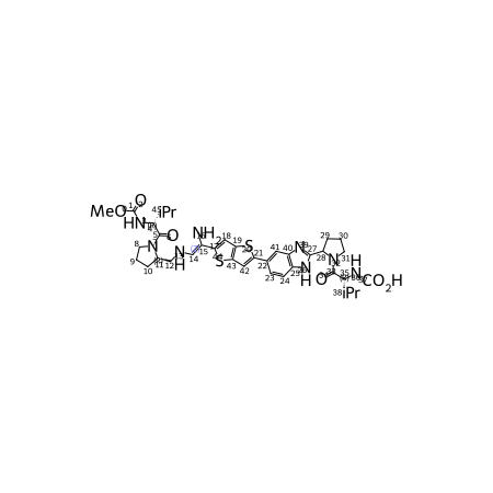 COC(=O)N[C@@H](C(=O)N1CCC[C@@H]1CN/C=C(\N)c1cc2sc(-c3ccc4[nH]c(C5CCCN5C(=O)[C@H](NC(=O)O)C(C)C)nc4c3)cc2s1)C(C)C